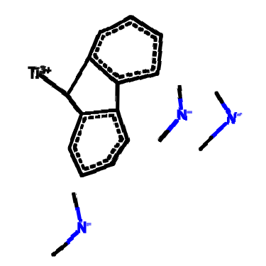 C[N-]C.C[N-]C.C[N-]C.[Ti+3][CH]1c2ccccc2-c2ccccc21